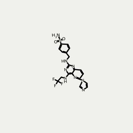 NS(=O)(=O)c1ccc(CNc2nc(NCC(F)(F)F)c3nc(-n4ccnc4)ccc3n2)cc1